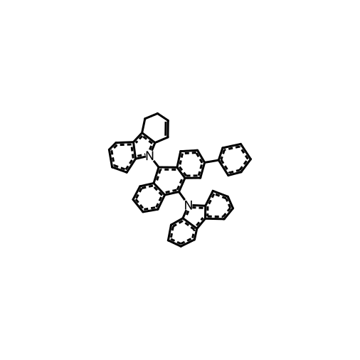 C1=Cc2c(c3ccccc3n2-c2c3ccccc3c(-n3c4ccccc4c4ccccc43)c3cc(-c4ccccc4)ccc23)CC1